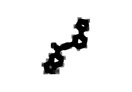 O=C(C#Cc1cccc(-c2cccs2)c1)c1ccc2[nH]ccc2c1